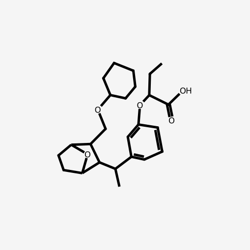 CCC(Oc1cccc(C(C)C2C3CCC(O3)C2COC2CCCCC2)c1)C(=O)O